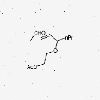 C=CC(CCC)OCCOC(C)=O.CC=O